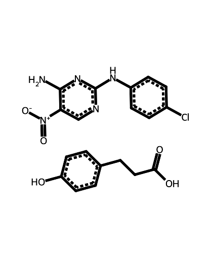 Nc1nc(Nc2ccc(Cl)cc2)ncc1[N+](=O)[O-].O=C(O)CCc1ccc(O)cc1